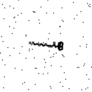 NCCOCCOCCNC(=O)CC12CC3CC(CC(C3)C1)C2